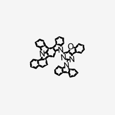 c1ccc2c(c1)ccc1c3cc4c(c5ccccc5n4-c4nc(-n5c6ccccc6c6ccccc65)nc5c4oc4ccccc45)c4c5ccccc5n(c21)c34